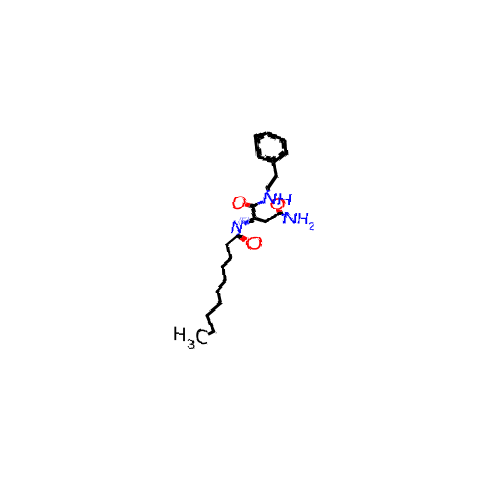 CCCCCCCCCC(=O)/N=C(\CC(N)=O)C(=O)NCCc1ccccc1